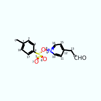 Cc1ccc(S(=O)(=O)O[n+]2ccc(CC=O)cc2)cc1